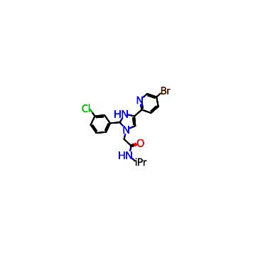 CC(C)NC(=O)CN1C=C(c2ccc(Br)cn2)NC1c1cccc(Cl)c1